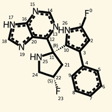 Fc1cc(-c2ccccc2)c([C@]2(c3ncnc4[nH]cnc34)C[C@H](F)CN2)[nH]1